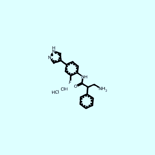 Cl.Cl.NCC(C(=O)Nc1ccc(-c2cn[nH]c2)cc1F)c1ccccc1